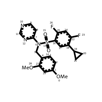 COc1ccc(CN(c2ccncn2)S(=O)(=O)c2cc(C3CC3)c(F)cc2F)c(OC)c1